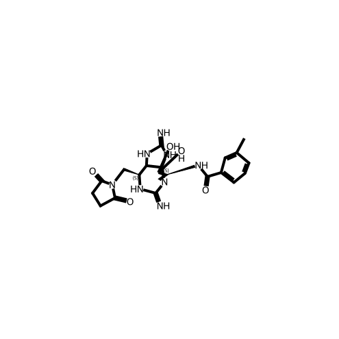 Cc1cccc(C(=O)N[C@H]2CN3C(=N)N[C@@H](CN4C(=O)CCC4=O)C4NC(=N)NC43C2(O)O)c1